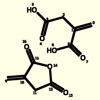 C=C(CC(=O)O)C(=O)O.C=C1CC(=O)OC1=O